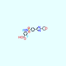 O=C(O)c1cc(F)c(NS(=O)(=O)c2ccc(-c3cnc(C4CCOCC4)nc3)cc2)cc1F